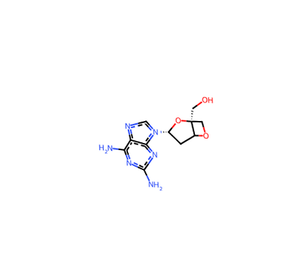 Nc1nc(N)c2ncn([C@H]3CC4OC[C@]4(CO)O3)c2n1